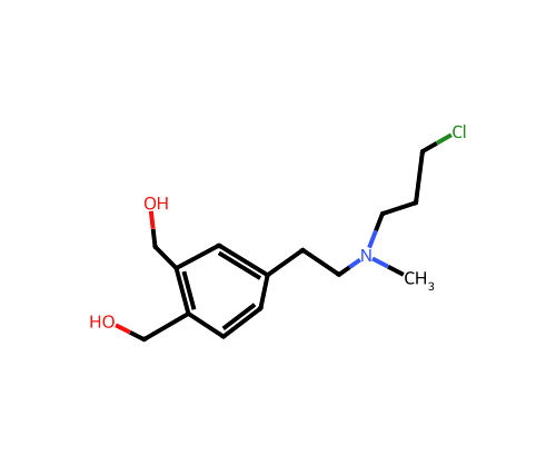 CN(CCCCl)CCc1ccc(CO)c(CO)c1